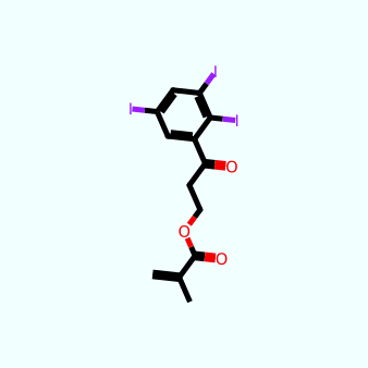 C=C(C)C(=O)OCCC(=O)c1cc(I)cc(I)c1I